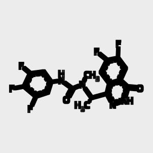 C[C@@H](c1n[nH]c(=O)c2cc(F)c(F)cc12)N(C)C(=O)Nc1cc(F)c(F)c(F)c1